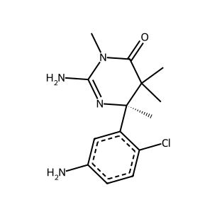 CN1C(=O)C(C)(C)[C@@](C)(c2cc(N)ccc2Cl)N=C1N